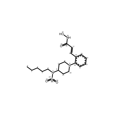 CCCCCN(C1CCN(c2ccccc2/C=C/C(=O)NO)CC1)[SH](=O)=O